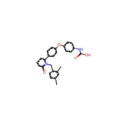 Cc1ccc(Cn2c(-c3ccc(Oc4ccc(NC(=O)O)cc4)cc3)cccc2=O)c(C)c1